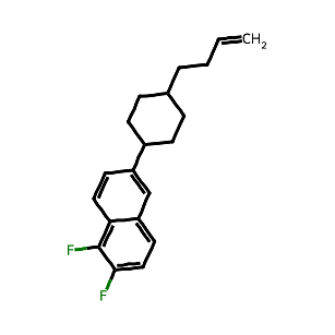 C=CCCC1CCC(c2ccc3c(F)c(F)ccc3c2)CC1